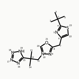 CC(C)(C)c1nc(Cc2n[n+](CC(C)(C)c3nnn[nH]3)co2)cs1